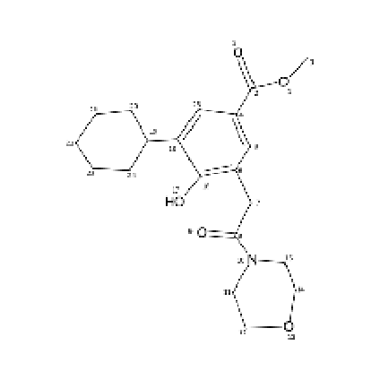 COC(=O)c1cc(CC(=O)N2CCOCC2)c(O)c(C2CCCCC2)c1